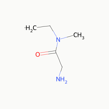 [CH2]CN(C)C(=O)CN